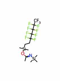 CC(=N[Si](C)(C)C)O[Si](C)(C)CCC(F)(F)C(F)(F)C(F)(F)C(F)(F)C(F)(F)F